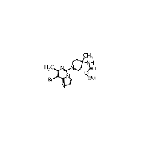 Cc1nc(N2CCC(C)(NC(=O)OC(C)(C)C)CC2)n2ccnc2c1Br